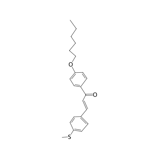 CCCCCCOc1ccc(C(=O)C=Cc2ccc(SC)cc2)cc1